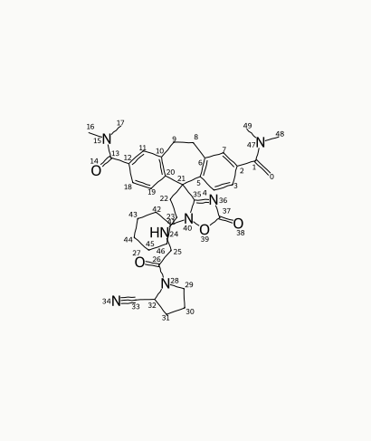 C=C(c1ccc2c(c1)CCc1cc(C(=O)N(C)C)ccc1C2(CCNCC(=O)N1CCCC1C#N)c1nc(=O)on1C1CCCCC1)N(C)C